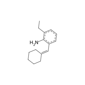 CCc1cccc(C=C2CCCCC2)c1N